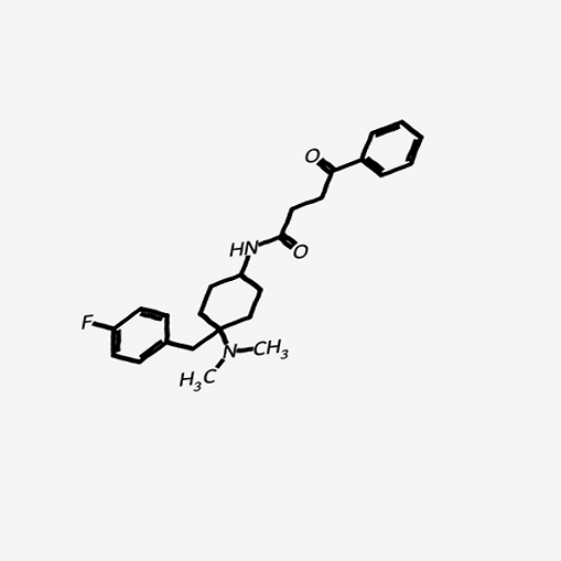 CN(C)C1(Cc2ccc(F)cc2)CCC(NC(=O)CCC(=O)c2ccccc2)CC1